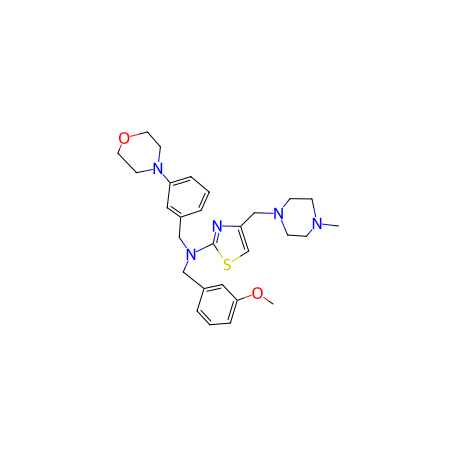 COc1cccc(CN(Cc2cccc(N3CCOCC3)c2)c2nc(CN3CCN(C)CC3)cs2)c1